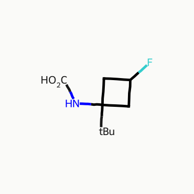 CC(C)(C)C1(NC(=O)O)CC(F)C1